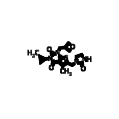 Cc1c(CN2CCNC2=O)sc2c1c(=O)n(C1C[C@@H]1C)c(=O)n2CC1COC1